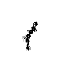 N#C[C@]1(c2ccc(-c3ccc(N4C[C@H](Cn5ccnn5)OC4=O)cc3F)cn2)[C@@H]2CN(CCn3cnnc3)C[C@@H]21